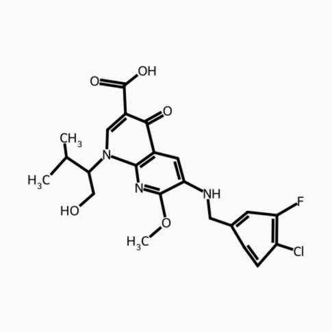 COc1nc2c(cc1NCc1ccc(Cl)c(F)c1)c(=O)c(C(=O)O)cn2C(CO)C(C)C